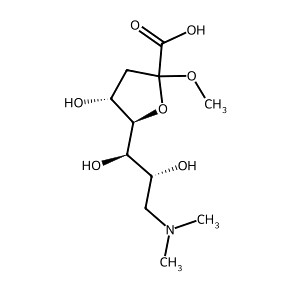 COC1(C(=O)O)C[C@@H](O)[C@H]([C@H](O)[C@H](O)CN(C)C)O1